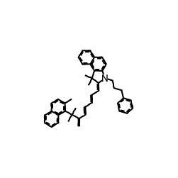 C=C(/C=C/C=C/C=C1/N(CCCc2ccccc2)c2ccc3ccccc3c2C1(C)C)C(C)(C)c1c(C)ccc2ccccc12